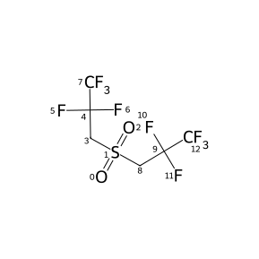 O=S(=O)(CC(F)(F)C(F)(F)F)CC(F)(F)C(F)(F)F